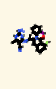 Cc1nc(N)nc(N[C@@H](C)c2cc3cccc(F)c3c(=O)n2-c2ccccc2I)c1C#N